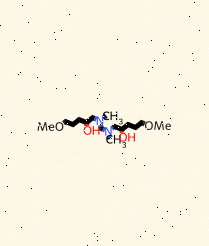 COCCCC(O)CN(C)CN(C)CC(O)CCCOC